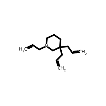 C=CCN1CCCC(CC=C)(CC=C)C1